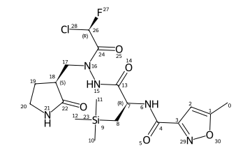 Cc1cc(C(=O)N[C@@H](C[Si](C)(C)C)C(=O)NN(C[C@@H]2CCNC2=O)C(=O)[C@H](F)Cl)no1